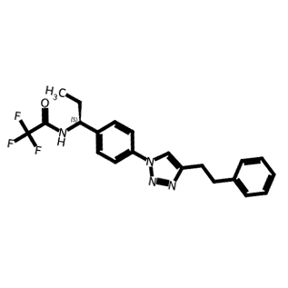 CC[C@H](NC(=O)C(F)(F)F)c1ccc(-n2cc(CCc3ccccc3)nn2)cc1